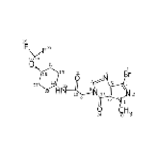 Cn1nc(Br)c2ncn(CC(=O)N[C@H]3CC[C@H](OC(F)F)CC3)c(=O)c21